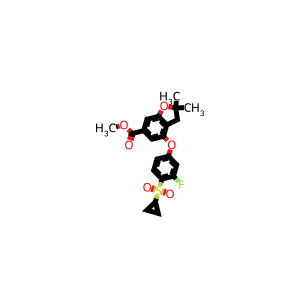 COC(=O)c1cc(Oc2ccc(S(=O)(=O)C3CC3)c(F)c2)c2c(c1)OC(C)(C)C2